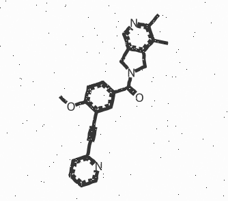 COc1ccc(C(=O)N2Cc3cnc(C)c(C)c3C2)cc1C#Cc1ccccn1